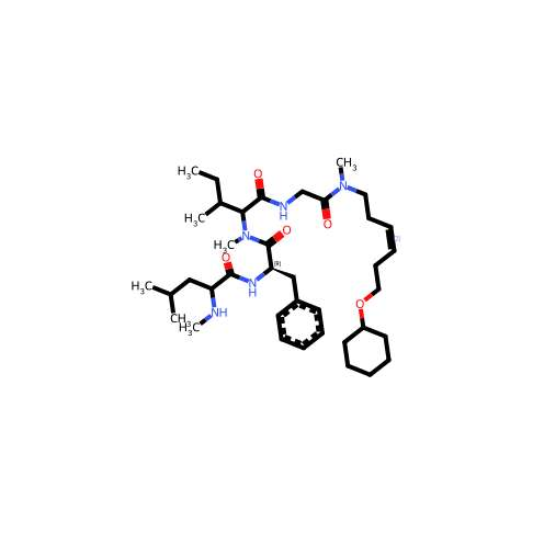 CCC(C)C(C(=O)NCC(=O)N(C)CC/C=C\CCOC1CCCCC1)N(C)C(=O)[C@@H](Cc1ccccc1)NC(=O)C(CC(C)C)NC